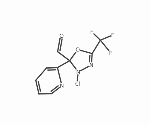 O=CC1(c2ccccn2)OC(C(F)(F)F)=NN1Cl